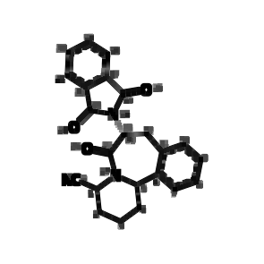 N#CC1CCCC2c3ccccc3C[C@@H](N3C(=O)c4ccccc4C3=O)C(=O)N12